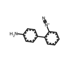 N#[N+]c1ccccc1-c1ccc(N)cc1